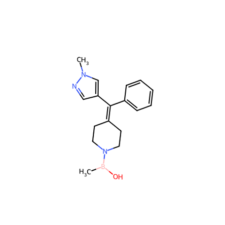 CB(O)N1CCC(=C(c2ccccc2)c2cnn(C)c2)CC1